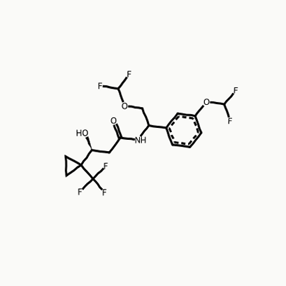 O=C(C[C@H](O)C1(C(F)(F)F)CC1)NC(COC(F)F)c1cccc(OC(F)F)c1